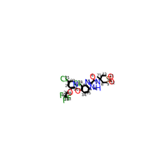 Cn1c(C(=O)NC2(C)CCS(=O)(=O)CC2)nc2c(Cl)c(Oc3ncc(Cl)cc3OCC(F)(F)F)ccc21